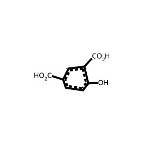 O=C(O)c1[c]c(C(=O)O)c(O)cc1